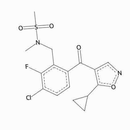 CN(Cc1c(C(=O)c2cnoc2C2CC2)ccc(Cl)c1F)S(C)(=O)=O